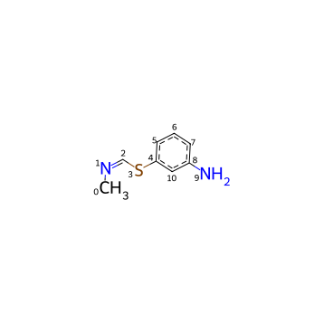 C/N=C\Sc1cccc(N)c1